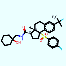 CC(F)(c1ccc2c(c1)CC[C@H]1[C@H](C(=O)NCC3(O)CCCCC3)CC[C@@]21S(=O)(=O)c1ccc(F)cc1)C(F)(F)F